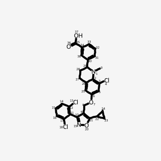 CN1c2c(Cl)cc(OCc3c(-c4c(Cl)cccc4Cl)noc3C3CC3)cc2CCC1c1cccc(C(=O)O)c1